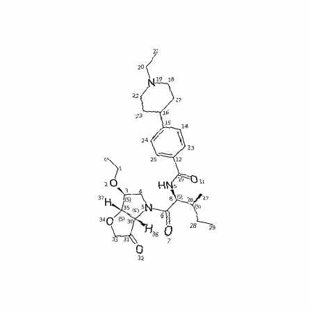 CCO[C@H]1CN(C(=O)[C@@H](NC(=O)c2ccc(C3CCN(CC)CC3)cc2)[C@@H](C)CC)[C@@H]2C(=O)CO[C@H]12